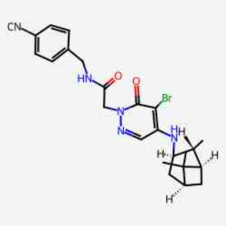 [C-]#[N+]c1ccc(CNC(=O)Cn2ncc(N[C@@H]3C[C@@H]4C[C@H]([C@H]3C)C4(C)C)c(Br)c2=O)cc1